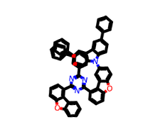 c1ccc(-c2cccc(-c3nc(-c4cccc5oc6ccccc6c45)nc(-c4cccc5oc6ccc(-n7c8ccc(-c9ccccc9)cc8c8cc(-c9ccccc9)ccc87)cc6c45)n3)c2)cc1